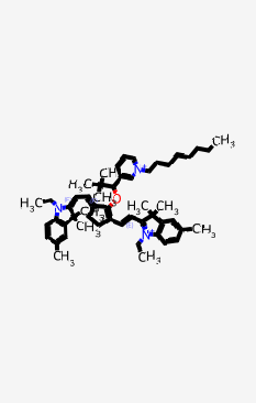 CCCCCCCC[n+]1cccc(C(OC2=C(/C=C/C3=[N+](CC)c4ccc(C)cc4C3(C)C)CC/C2=C\C=C2\N(CC)c3ccc(C)cc3C2(C)C)C(C)(C)C)c1